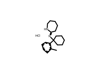 Cc1ccccc1C1(N=C2CCCCCN2)CCCCC1.Cl